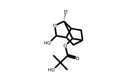 CC(C)(O)C(=O)OC1C2CC3C(O)O[C@H]1C3C2